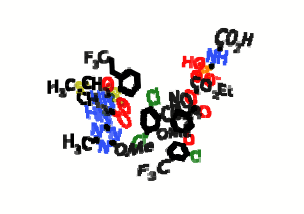 CCOC(=O)COC(=O)c1cc(Oc2ccc(C(F)(F)F)cc2Cl)ccc1[N+](=O)[O-].COc1c(Cl)ccc(Cl)c1C(=O)O.COc1nc(C)nc(NC(=O)NS(=O)(=O)c2ccccc2CCC(F)(F)F)n1.C[S+](C)C.O=C(O)CNCP(=O)([O-])O